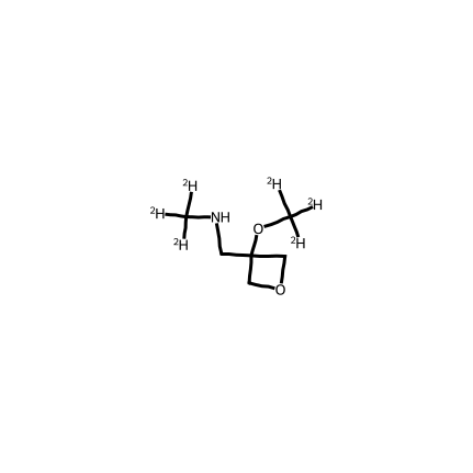 [2H]C([2H])([2H])NCC1(OC([2H])([2H])[2H])COC1